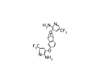 Nc1ncc(C(F)(F)F)cc1Oc1ccc2c(c1)C1CCC2C1Oc1cc(C(F)(F)F)cnc1N